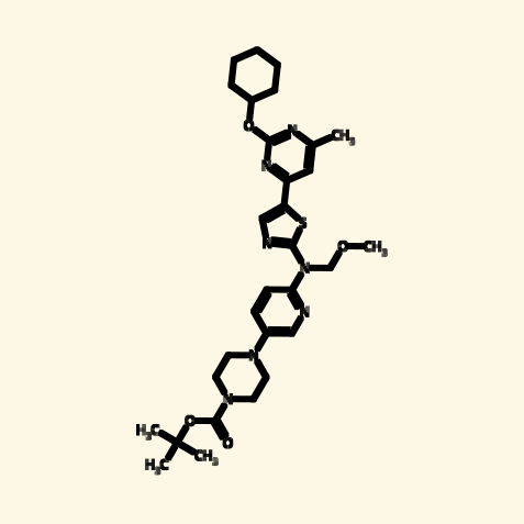 COCN(c1ccc(N2CCN(C(=O)OC(C)(C)C)CC2)cn1)c1ncc(-c2cc(C)nc(OC3CCCCC3)n2)s1